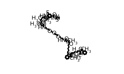 CN(CC(=O)NCCCOCCOCCOCCCNC(=O)CN(C)C(=O)CC(C)(C)CC(=O)Nc1c(F)cc(C(=O)Nc2nccs2)cc1F)C(=O)CCCCCN1/C(=C/C=C/C=C/C2N(C)c3ccccc3C2(C)C)C(C)(C)c2ccccc21